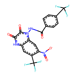 O=C(Nn1c(=O)c(=O)[nH]c2cc(C(F)(F)F)c([N+](=O)[O-])cc21)c1ccc(C(F)(F)F)cc1